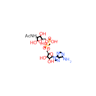 CC(=O)N[C@@H]1C(O)O[C@H](COP(=O)(O)CP(=O)(O)OC[C@H]2O[C@@H](n3cnc4c(N)ncnc43)C(O)C2O)C1O